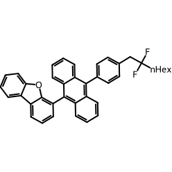 CCCCCCC(F)(F)Cc1ccc(-c2c3ccccc3c(-c3cccc4c3oc3ccccc34)c3ccccc23)cc1